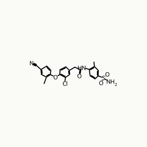 Cc1cc(S(N)(=O)=O)ccc1NC(=O)Cc1ccc(Oc2ccc(C#N)cc2C)c(Cl)c1